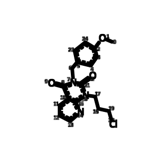 COc1ccc(Cn2c(=O)c3cccnc3n(CCCCl)c2=O)cc1